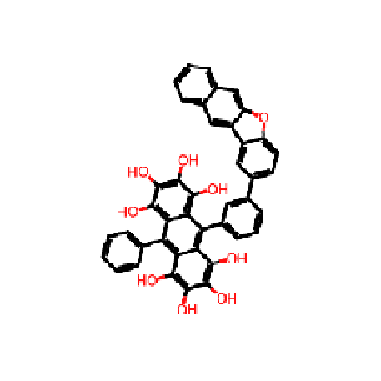 Oc1c(O)c(O)c2c(-c3cccc(-c4ccc5oc6cc7ccccc7cc6c5c4)c3)c3c(O)c(O)c(O)c(O)c3c(-c3ccccc3)c2c1O